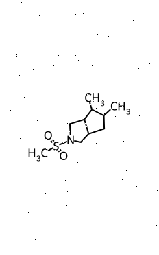 CC1CC2CN(S(C)(=O)=O)CC2C1C